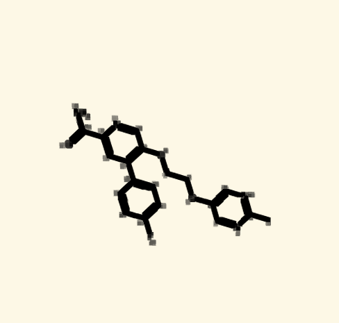 Cc1ncc(OCCOc2cnc(C(N)=O)cc2-c2ccc(F)cc2)cn1